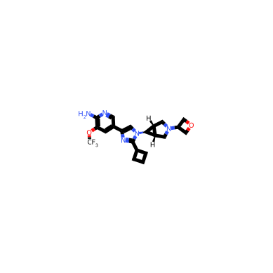 Nc1ncc(-c2cn([C@H]3[C@@H]4CN(C5COC5)C[C@@H]43)c(C3CCC3)n2)cc1OC(F)(F)F